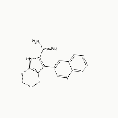 N=C(N)c1[nH]c2c(c1-c1cnc3ccccc3c1)CCCC2